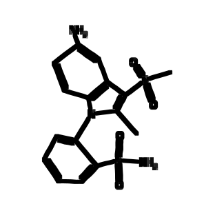 Cc1c(S(C)(=O)=O)c2cc(N)ccc2n1-c1ccccc1S(N)(=O)=O